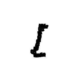 CNc1ccc(N=Nc2ccc(/N=N/c3ccc(N=Nc4ccc(NC)c5ccccc45)cc3)cc2)c2ccccc12